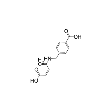 C=C(/C=C\C(=O)O)NCc1ccc(C(=O)O)cc1